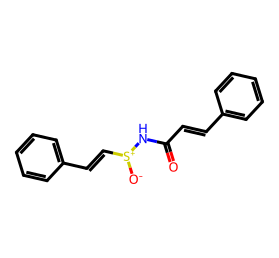 O=C(C=Cc1ccccc1)N[S+]([O-])C=Cc1ccccc1